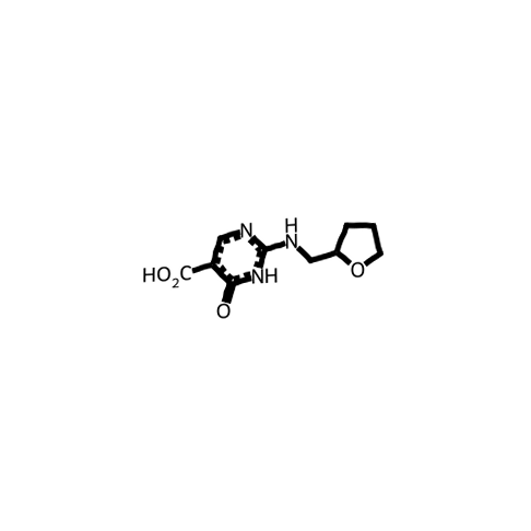 O=C(O)c1cnc(NCC2CCCO2)[nH]c1=O